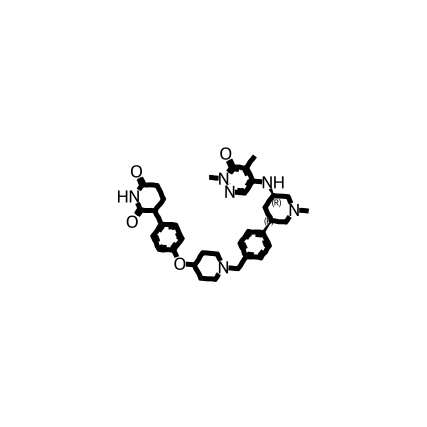 Cc1c(N[C@@H]2C[C@H](c3ccc(CN4CCC(Oc5ccc(C6CCC(=O)NC6=O)cc5)CC4)cc3)CN(C)C2)cnn(C)c1=O